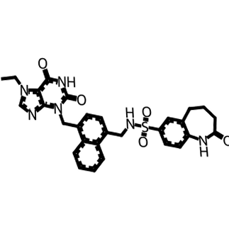 CCn1cnc2c1c(=O)[nH]c(=O)n2Cc1ccc(CNS(=O)(=O)c2ccc3c(c2)CCCC(=O)N3)c2ccccc12